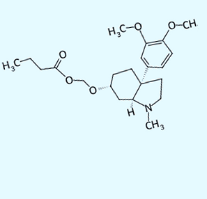 CCCC(=O)OCO[C@@H]1CC[C@@]2(c3ccc(OC)c(OC)c3)CCN(C)[C@H]2C1